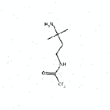 CC(C)([SiH3])CCNC(=O)C(F)(F)F